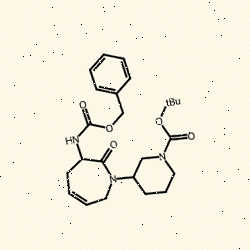 CC(C)(C)OC(=O)N1CCCC(N2CC=CCC(NC(=O)OCc3ccccc3)C2=O)C1